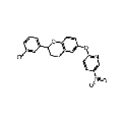 O=[N+]([O-])c1ccc(Oc2ccc3c(c2)CCC(c2cccc(Cl)c2)O3)nc1